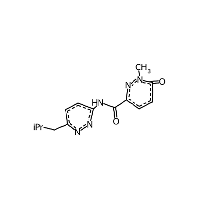 CC(C)Cc1ccc(NC(=O)c2ccc(=O)n(C)n2)nn1